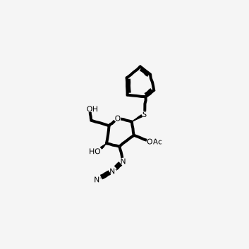 CC(=O)OC1C(N=[N+]=[N-])[C@@H](O)C(CO)O[C@H]1Sc1ccccc1